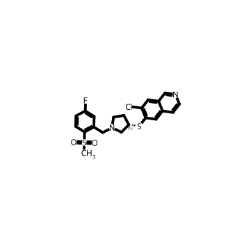 CS(=O)(=O)c1ccc(F)cc1CN1CC[C@H](Sc2cc3ccncc3cc2Cl)C1